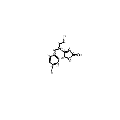 O=C1N=C(N(CCF)Cc2ccc(F)nc2)CO1